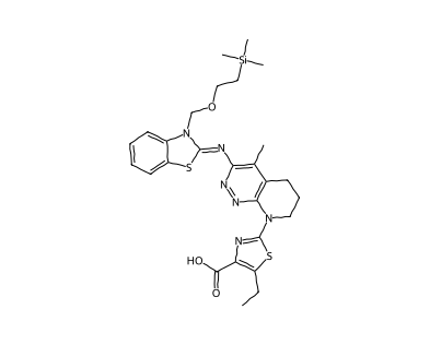 CCc1sc(N2CCCc3c2nnc(/N=c2\sc4ccccc4n2COCC[Si](C)(C)C)c3C)nc1C(=O)O